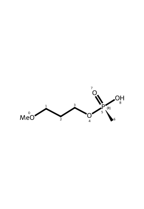 COCCCO[P@](C)(=O)O